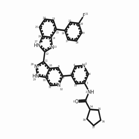 O=C(Nc1cncc(-c2cc3c(-c4nc5c(-c6cccc(F)c6)cccc5[nH]4)n[nH]c3cn2)c1)C1CCCC1